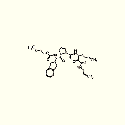 C=CCCC(NC(=O)[C@@H]1CCCN1C(=O)[C@@H](NC(=O)OCCOC)C1Cc2ccccc2C1)C(=O)C(=O)NCC=C